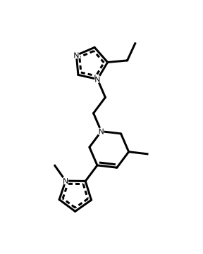 CCc1cncn1CCN1CC(c2cccn2C)=CC(C)C1